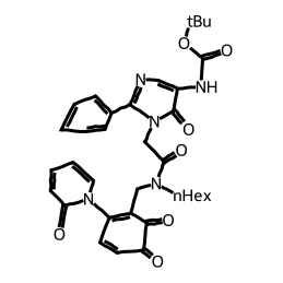 CCCCCCN(CC1=C(n2ccccc2=O)C=CC(=O)C1=O)C(=O)Cn1c(-c2ccccc2)ncc(NC(=O)OC(C)(C)C)c1=O